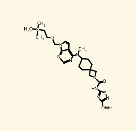 COc1nsc(NC(=O)N2CC3(CCC(N(C)c4ncnc5c4ccn5COCC[Si](C)(C)C)CC3)C2)n1